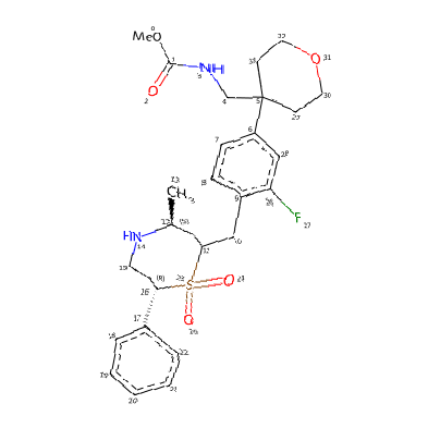 COC(=O)NCC1(c2ccc(CC3[C@H](C)NC[C@@H](c4ccccc4)S3(=O)=O)c(F)c2)CCOCC1